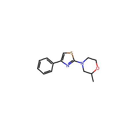 CC1CN(c2nc(-c3ccccc3)cs2)CCO1